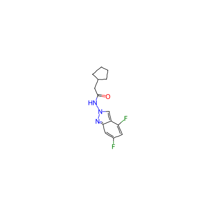 O=C(CC1CCCC1)Nn1cc2c(F)cc(F)cc2n1